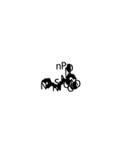 CCCO/N=C1\CCN(S(C)(=O)=O)c2oc(-c3cnc(-c4cccnc4)s3)nc21